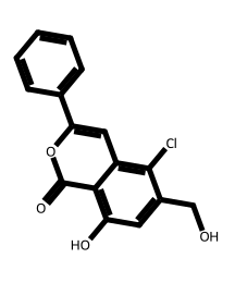 O=c1oc(-c2ccccc2)cc2c(Cl)c(CO)cc(O)c12